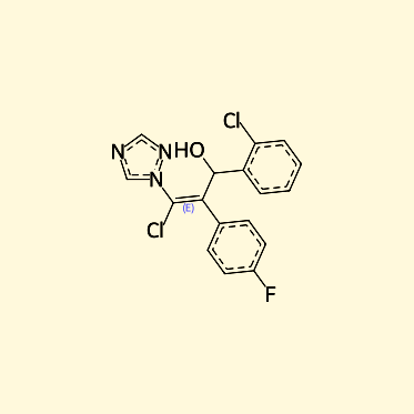 OC(/C(=C(/Cl)n1cncn1)c1ccc(F)cc1)c1ccccc1Cl